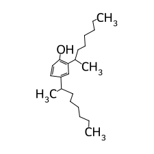 CCCCCCC(C)c1ccc(O)c(C(C)CCCCCC)c1